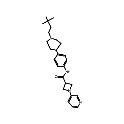 CC(C)(C)CCN1CCC(c2ccc(NC(=O)C3CN(c4cccnc4)C3)cc2)CC1